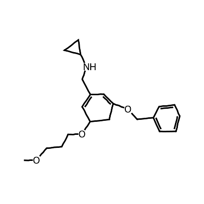 COCCCOC1C=C(CNC2CC2)C=C(OCc2ccccc2)C1